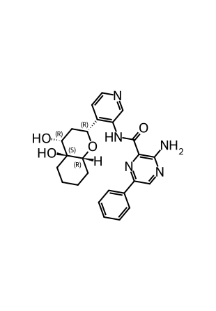 Nc1ncc(-c2ccccc2)nc1C(=O)Nc1cnccc1[C@H]1C[C@@H](O)[C@@]2(O)CCCC[C@H]2O1